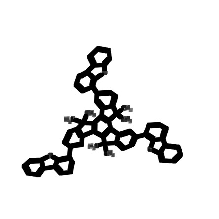 CC1(C)c2ccc(-c3cccc4c3oc3ccccc34)cc2-c2c1c1c(c3c2C(C)(C)c2ccc(-c4cccc5c4oc4ccccc45)cc2-3)C(C)(C)c2ccc(-c3cccc4c3oc3ccccc34)cc2-1